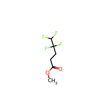 COC(=O)CCC(F)(F)C(F)F